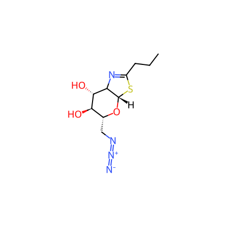 CCCC1=NC2[C@@H](O)[C@H](O)[C@@H](CN=[N+]=[N-])O[C@H]2S1